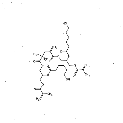 C=C(C)C(=O)OCC(CCC(=O)C(C)(C)CC(=C)C(=O)OCC(COC(=O)C(=C)C)OC(=O)CCCCCO)OC(=O)CCCCCO